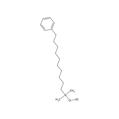 CCO[Si](C)(C)CCCCCCCCCCc1[c]cccc1